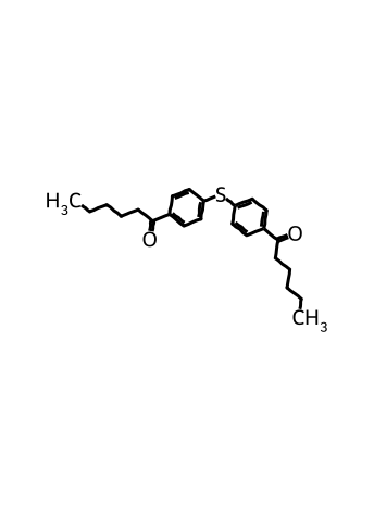 CCCCCC(=O)c1ccc(Sc2ccc(C(=O)CCCCC)cc2)cc1